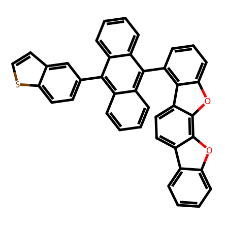 c1ccc2c(c1)oc1c2ccc2c1oc1cccc(-c3c4ccccc4c(-c4ccc5sccc5c4)c4ccccc34)c12